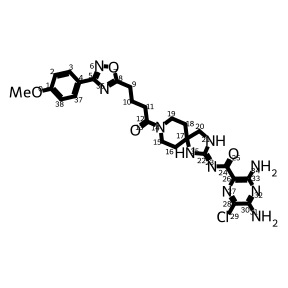 COc1ccc(-c2noc(CCCC(=O)N3CCC4(CC3)CN/C(=N\C(=O)c3nc(Cl)c(N)nc3N)N4)n2)cc1